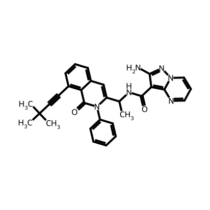 CC(NC(=O)c1c(N)nn2cccnc12)c1cc2cccc(C#CC(C)(C)C)c2c(=O)n1-c1ccccc1